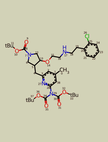 Cc1cc(CC2CN(C(=O)OC(C)(C)C)CC2OCCNCCc2ccccc2Cl)nc(N(C(=O)OC(C)(C)C)C(=O)OC(C)(C)C)c1